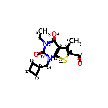 CCn1c(=O)c2c(C)c(C=O)sc2n(CC2CCC2)c1=O